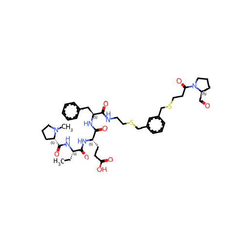 CC[C@H](NC(=O)[C@@H]1CCCN1C)C(=O)N[C@@H](CCC(=O)O)C(=O)N[C@@H](Cc1ccccc1)C(=O)NCCSCc1cccc(CSCCC(=O)N2CCC[C@H]2C=O)c1